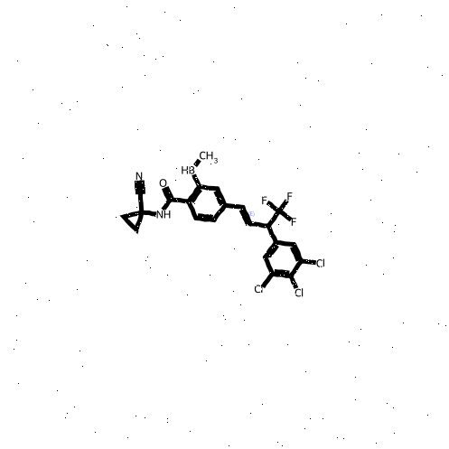 CBc1cc(/C=C/C(c2cc(Cl)c(Cl)c(Cl)c2)C(F)(F)F)ccc1C(=O)NC1(C#N)CC1